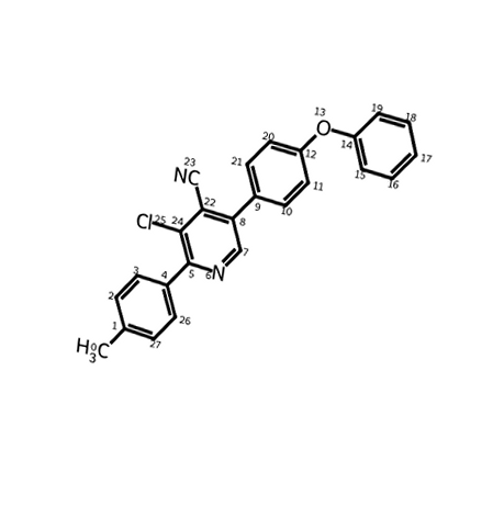 Cc1ccc(-c2ncc(-c3ccc(Oc4ccccc4)cc3)c(C#N)c2Cl)cc1